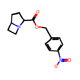 O=C(OCc1ccc([N+](=O)[O-])cc1)C1CCC2CCN21